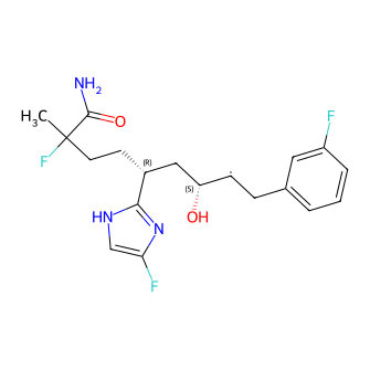 CC(F)(CC[C@H](C[C@@H](O)[CH]Cc1cccc(F)c1)c1nc(F)c[nH]1)C(N)=O